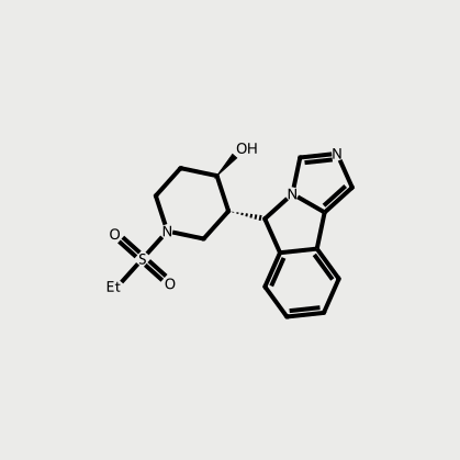 CCS(=O)(=O)N1CC[C@@H](O)[C@H](C2c3ccccc3-c3cncn32)C1